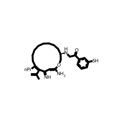 C=C(C)/C1=C(\CCC)CCCCCCCC[C@@H](NCC(=O)c2cccc(S)c2)CO/C(N)=C/C1=N